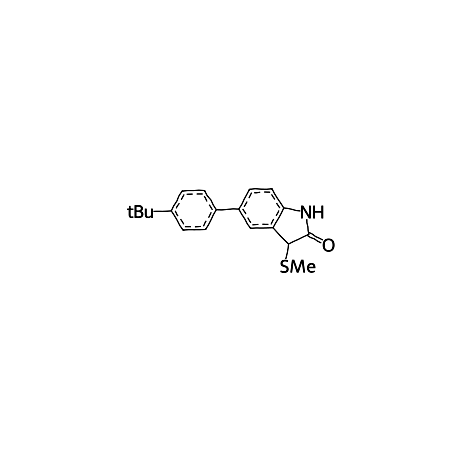 CSC1C(=O)Nc2ccc(-c3ccc(C(C)(C)C)cc3)cc21